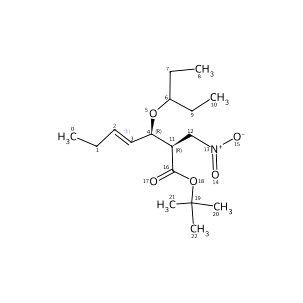 CC/C=C/[C@@H](OC(CC)CC)[C@@H](C[N+](=O)[O-])C(=O)OC(C)(C)C